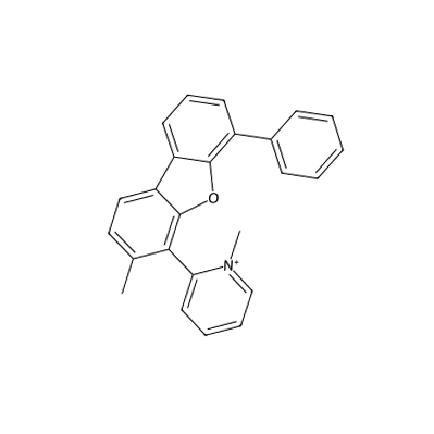 Cc1ccc2c(oc3c(-c4ccccc4)cccc32)c1-c1cccc[n+]1C